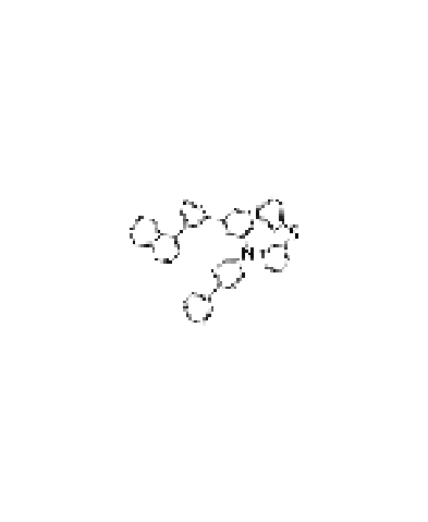 c1ccc(-c2ccc(N(c3cccc(-c4cccc(-c5cccc6ccccc56)c4)c3)c3cccc4sc5ccccc5c34)cc2)cc1